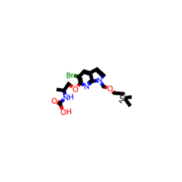 CC(COc1nc2c(ccn2COCC[Si](C)(C)C)cc1Br)NC(=O)O